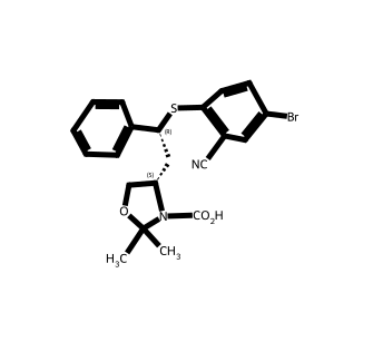 CC1(C)OC[C@H](C[C@@H](Sc2ccc(Br)cc2C#N)c2ccccc2)N1C(=O)O